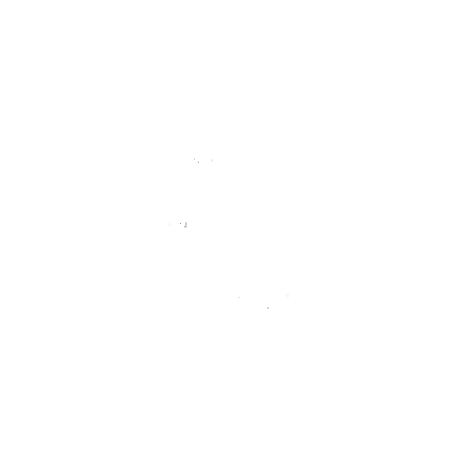 CC(=O)N[C@@H](CO)C(C)OC(CO)[C@H](C)OC(OC(CO)[C@H](C)OC(O)[C@H](O)CO[C@H]1O[C@H](CO)C(O)C(O)C1O)[C@H](CO)NC(C)=O